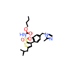 CCCCOC(=O)NS(=O)(=O)c1sc(CC(C)C)cc1-c1ccc(Cn2ccnc2C)cc1